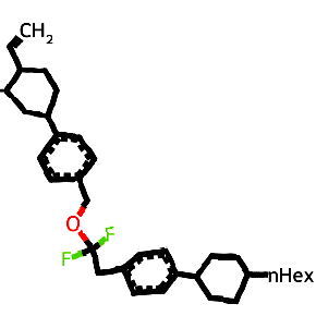 C=CC1CCC(c2ccc(COC(F)(F)Cc3ccc(C4CCC(CCCCCC)CC4)cc3)cc2)CC1